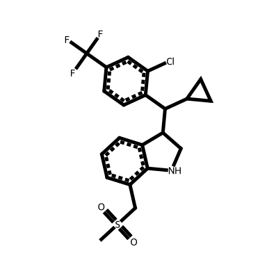 CS(=O)(=O)Cc1cccc2c1NCC2C(c1ccc(C(F)(F)F)cc1Cl)C1CC1